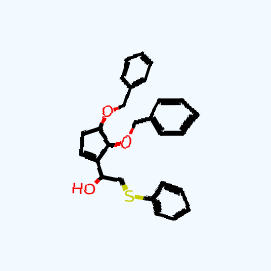 OC(CSc1ccccc1)C1=CCC(OCc2ccccc2)C1OCc1ccccc1